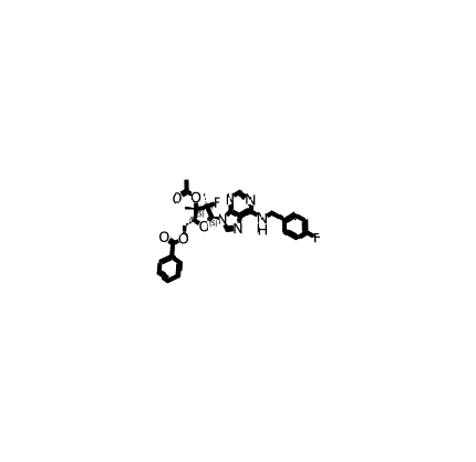 CC(=O)O[C@@]1(C)[C@@H](COC(=O)c2ccccc2)O[C@H](n2cnc3c(NCc4ccc(F)cc4)ncnc32)[C@]1(C)F